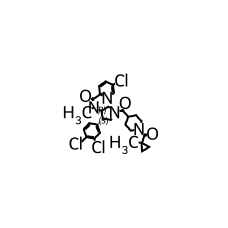 CN(C(=O)c1ccc(Cl)cn1)[C@H]1CN(C(=O)C2CCN(C(=O)C3(C)CC3)CC2)C[C@@H]1c1ccc(Cl)c(Cl)c1